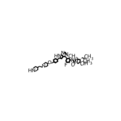 Cc1c(NC(=O)N2C[C@H](CC(C)C)[C@@H](O)C2)cc(F)cc1-c1ncnc2[nH]c(-c3ccc(COC4CCN(CCC5CCNCC5)CC4)cc3)cc12